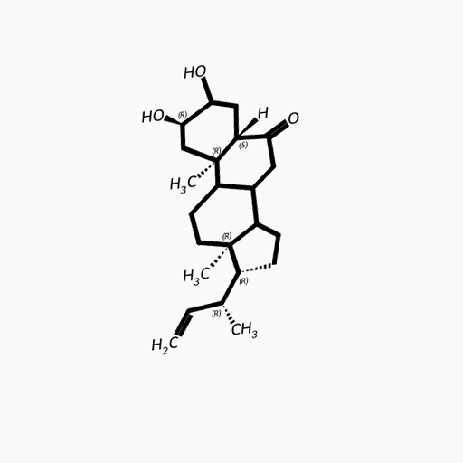 C=C[C@@H](C)[C@H]1CCC2C3CC(=O)[C@H]4CC(O)[C@H](O)C[C@]4(C)C3CC[C@@]21C